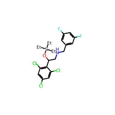 CC[Si](CC)(CC)OC(CNCc1cc(F)cc(F)c1)c1c(Cl)cc(Cl)cc1Cl